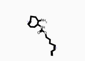 C=C/C=C\CCCOC(=O)NC1CC/C=C/CCC1N